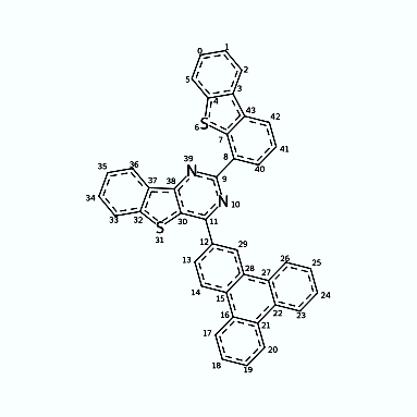 c1ccc2c(c1)sc1c(-c3nc(-c4ccc5c6ccccc6c6ccccc6c5c4)c4sc5ccccc5c4n3)cccc12